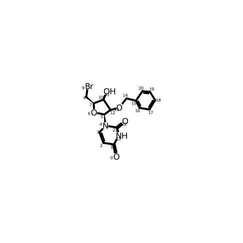 O=c1ccn([C@H]2O[C@@H](CBr)C(O)C2OCc2ccccc2)c(=O)[nH]1